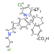 O=C(O)c1ccc2c(c1)CCCC(c1ncc(Cl)cc1C(F)(F)F)=C2c1ccc(C=C2CN(CCCF)C2)cc1